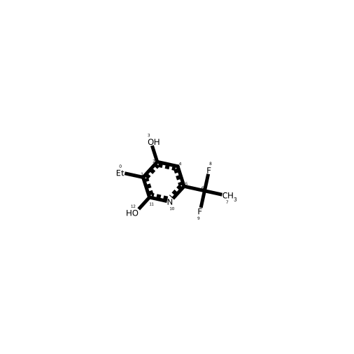 [CH2]Cc1c(O)cc(C(C)(F)F)nc1O